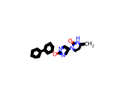 C=C1CCN(c2cnc(Oc3cccc(-c4ccccc4)c3)nc2)C(=O)N1